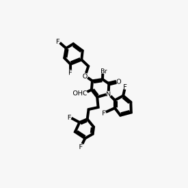 O=Cc1c(OCc2ccc(F)cc2F)c(Br)c(=O)n(-c2c(F)cccc2F)c1CCc1ccc(F)cc1F